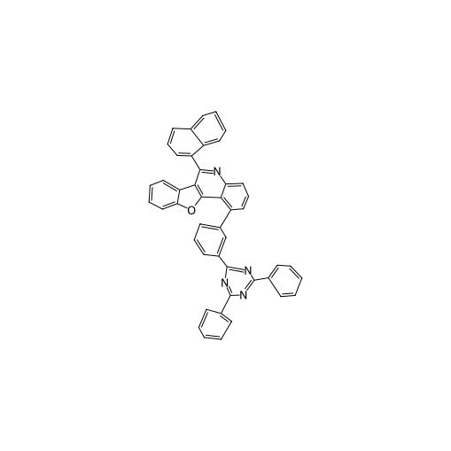 c1ccc(-c2nc(-c3ccccc3)nc(-c3cccc(-c4cccc5nc(-c6cccc7ccccc67)c6c7ccccc7oc6c45)c3)n2)cc1